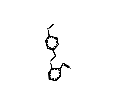 COc1ccc(CSc2ccccc2C=O)cc1